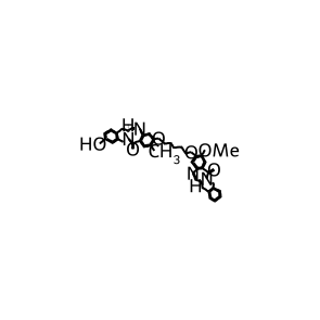 COc1cc2c(cc1OCCCCCOc1cc3c(cc1C)C(=O)N1Cc4cc(O)ccc4C[C@H]1C=N3)N=C[C@@H]1Cc3ccccc3CN1C2=O